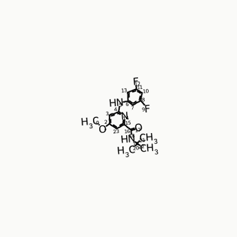 COc1cc(Nc2cc(F)cc(F)c2)nc(C(=O)NC(C)(C)C)c1